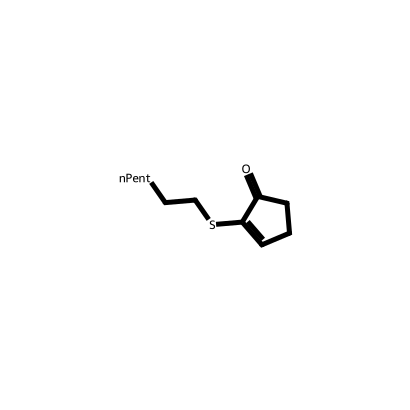 CCCCCCCSC1=CCCC1=O